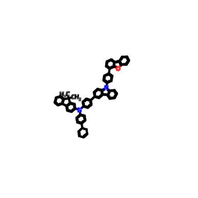 CC1(C)c2ccccc2-c2ccc(N(c3ccc(-c4ccc5c(c4)c4ccccc4n5-c4ccc(-c5cccc6c5oc5ccccc56)cc4)cc3)c3ccc(C4C=CC=CC4)cc3)cc21